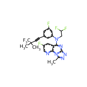 Cc1nnc2nc(N(CC(F)F)c3cc(F)cc(C#CC(C)(C)C(F)(F)F)c3)c3cc(F)cnc3n12